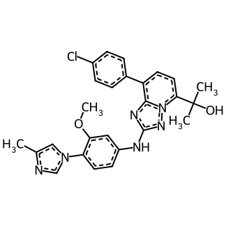 COc1cc(Nc2nc3c(-c4ccc(Cl)cc4)ccc(C(C)(C)O)n3n2)ccc1-n1cnc(C)c1